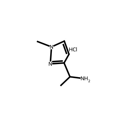 CC(N)c1ccn(C)n1.Cl